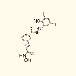 O=C(/C=C/c1cccc(C(=O)N/N=C/c2cc(I)cc(I)c2O)c1)NO